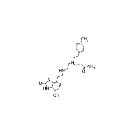 Cc1ccc(CCN(CCNCCc2ccc(O)c3[nH]c(=O)sc23)CCC(N)=O)cc1